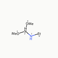 CCN[SiH](OC)OC